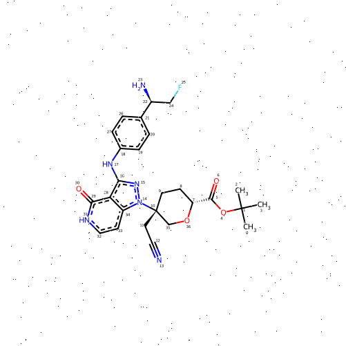 CC(C)(C)OC(=O)[C@H]1CC[C@@](CC#N)(n2nc(Nc3ccc([C@@H](N)CF)cc3)c3c(=O)[nH]ccc32)CO1